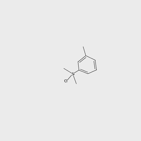 Cc1cccc([Si](C)(C)Cl)c1